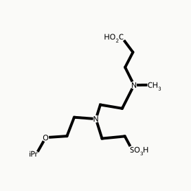 CC(C)OCCN(CCN(C)CCC(=O)O)CCS(=O)(=O)O